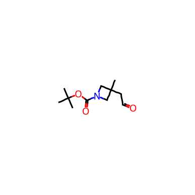 CC1(CC=O)CN(C(=O)OC(C)(C)C)C1